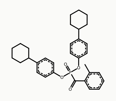 Cc1ccccc1C(=O)P(=O)(Oc1ccc(C2CCCCC2)cc1)Oc1ccc(C2CCCCC2)cc1